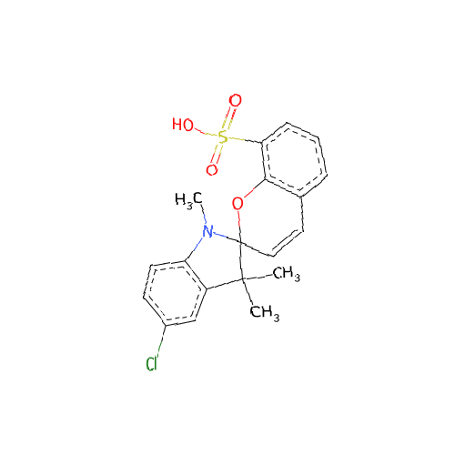 CN1c2ccc(Cl)cc2C(C)(C)C12C=Cc1cccc(S(=O)(=O)O)c1O2